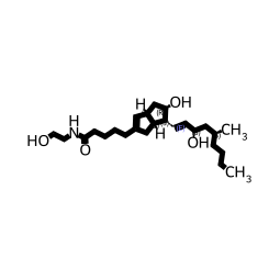 CCCC[C@H](C)C[C@H](O)/C=C/[C@@H]1[C@H]2CC(CCCCC(=O)NCCO)=C[C@H]2C[C@H]1O